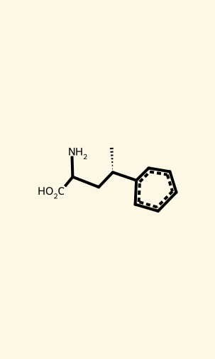 C[C@@H](CC(N)C(=O)O)c1ccccc1